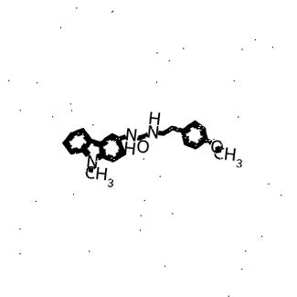 COc1ccc(CCNC(=O)Nc2ccc3c(c2)c2ccccc2n3C)cc1